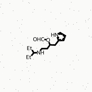 CCC(CC)NCCC(Cc1ccc[nH]1)OC=O